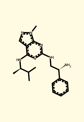 CC(C)[C@@H](C)Nc1nc(NC[C@H](N)c2ccccc2)nc2c1cnn2C